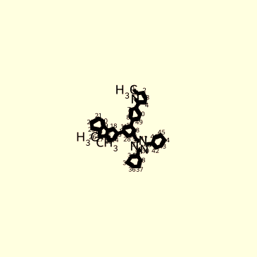 Cc1cccc(-c2ccc(-c3cc(-c4ccc5c(c4)-c4ccccc4C5(C)C)cc(-c4nc(-c5ccccc5)nc(-c5ccccc5)n4)c3)cc2)n1